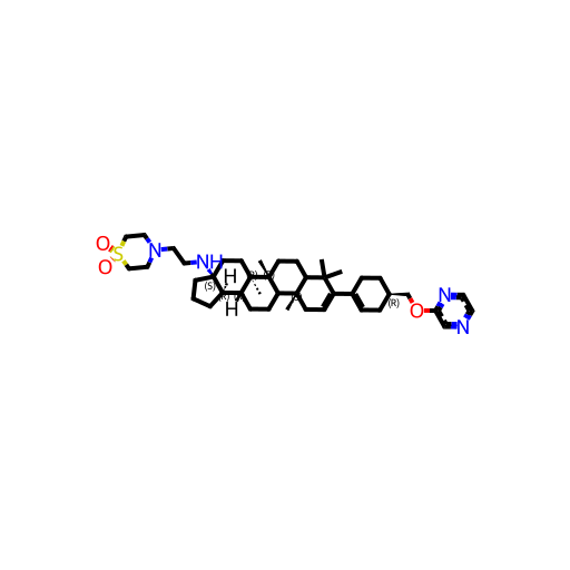 CC1(C)C(C2=CC[C@H](COc3cnccn3)CC2)=CC[C@@]2(C)C1CC[C@]1(C)C2CC[C@@H]2[C@H]3CCC[C@]3(NCCN3CCS(=O)(=O)CC3)CC[C@]21C